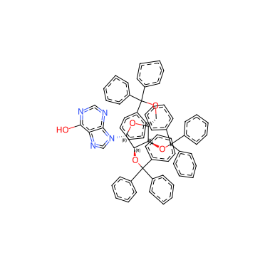 Oc1ncnc2c1ncn2[C@@H]1O[C@H](COC(c2ccccc2)(c2ccccc2)c2ccccc2)[C@@H](OC(c2ccccc2)(c2ccccc2)c2ccccc2)[C@H]1OC(c1ccccc1)(c1ccccc1)c1ccccc1